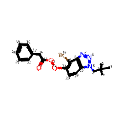 CC(C)(C)Cn1nnc2c(Br)c(OOC(=O)Cc3ccccc3)ccc21